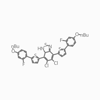 CCCCOc1ccc(-c2ccc(C3=C(Cl)C(Cl)=C(c4ccc(-c5ccc(OCCCC)cc5F)s4)C4NSN=C34)s2)c(F)c1